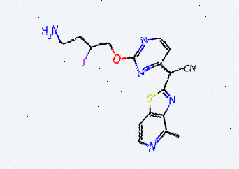 Cc1nccc2sc(C(C#N)c3ccnc(OCC(I)CCN)n3)nc12